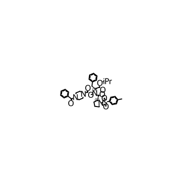 Cc1ccc(S(=O)(=O)N2CCC[C@H]2C(=O)N(OC(=O)N2CCN(C(=O)c3ccccc3)CC2)[C@@H](Cc2ccccc2)C(=O)OC(C)C)cc1